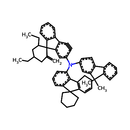 C=C1CC(CC)CC(CC)C12c1cc(N(c3ccc4c(c3)C(C)(C)c3ccccc3-4)c3cccc4c3C3=C(C=CCC3)C43CCCCC3)c#cc1-c1ccccc12